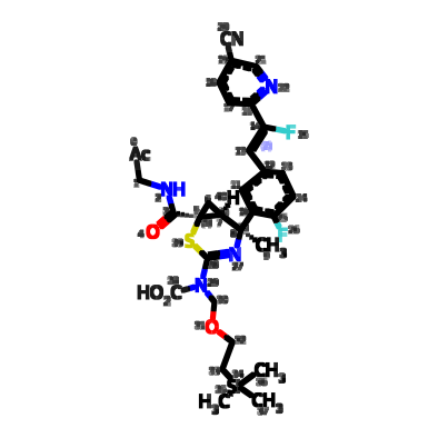 CC(=O)CNC(=O)[C@]12C[C@H]1[C@@](C)(c1cc(/C=C(\F)c3ccc(C#N)cn3)ccc1F)N=C(N(COCC[Si](C)(C)C)C(=O)O)S2